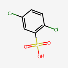 O=S(=O)(O)c1[c]c(Cl)ccc1Cl